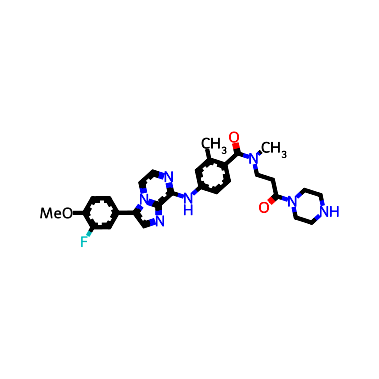 COc1ccc(-c2cnc3c(Nc4ccc(C(=O)N(C)CCC(=O)N5CCNCC5)c(C)c4)nccn23)cc1F